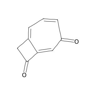 O=C1Cc2cccc(=O)cc21